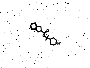 CC(C)(OC(=O)C1Cc2ccccc2C1)C1CCNCC1